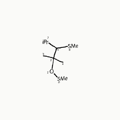 CSOC(C)(C)C(SC)C(C)C